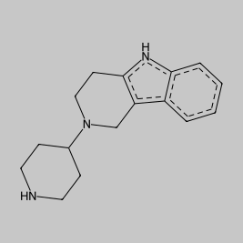 c1ccc2c3c([nH]c2c1)CCN(C1CCNCC1)C3